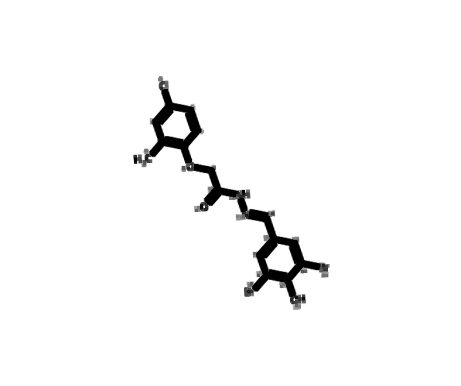 Cc1cc(Cl)ccc1OCC(=O)NN=Cc1cc(Br)c(O)c(Br)c1